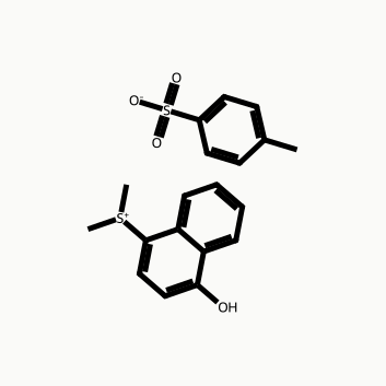 C[S+](C)c1ccc(O)c2ccccc12.Cc1ccc(S(=O)(=O)[O-])cc1